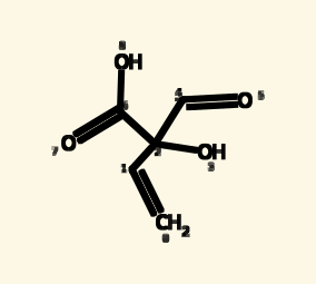 C=CC(O)([C]=O)C(=O)O